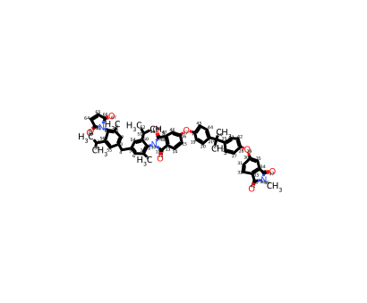 Cc1cc(Cc2cc(C)c(N3C(=O)c4ccc(Oc5ccc(C(C)(C)c6ccc(Oc7ccc8c(c7)C(=O)N(C)C8=O)cc6)cc5)cc4C3=O)c(C(C)C)c2)cc(C(C)C)c1N1C(=O)C=CC1=O